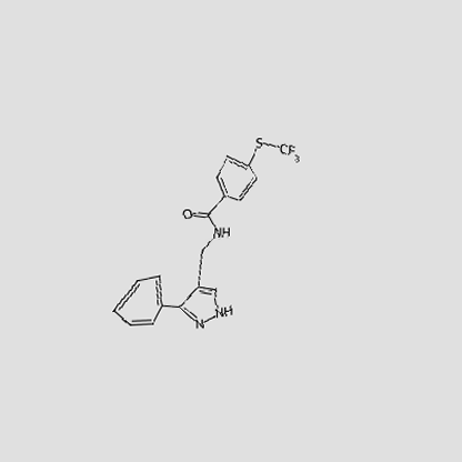 O=C(NCc1c[nH]nc1-c1ccccc1)c1ccc(SC(F)(F)F)cc1